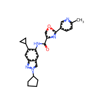 Cc1ccc(-c2nc(C(=O)Nc3cc4cn(C5CCCC5)nc4cc3C3CC3)co2)cn1